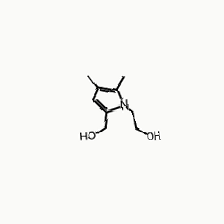 Cc1cc(CO)n(CCO)c1C